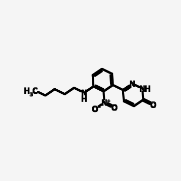 CCCCCNc1cccc(-c2ccc(=O)[nH]n2)c1[N+](=O)[O-]